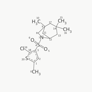 Cc1cc(S(=O)(=O)N2CC3(C)CC2CC(C)(C)C3)c(Cl)s1